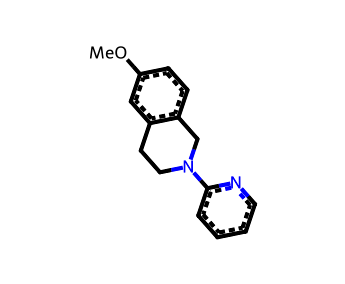 COc1ccc2c(c1)CCN(c1ccccn1)C2